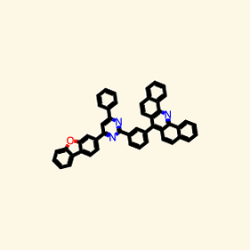 c1ccc(-c2cc(-c3ccc4c(c3)oc3ccccc34)nc(-c3cccc(-c4c5ccc6ccccc6c5nc5c4ccc4ccccc45)c3)n2)cc1